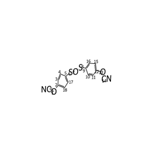 N#COc1ccc(SOSc2ccc(OC#N)cc2)cc1